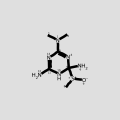 CN(C)C1=NC(N)([S+](C)[O-])NC(N)=N1